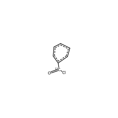 O=[13C](Cl)c1ccccc1